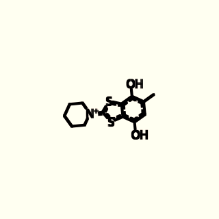 Cc1cc(O)c2sc(=[N+]3CCCCC3)sc2c1O